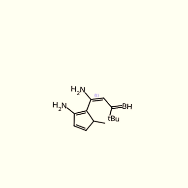 B=C(/C=C(/N)C1=C(N)C=CC1C)C(C)(C)C